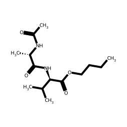 CCCCOC(=O)[C@H](NC(=O)[C@H](C)NC(C)=O)C(C)C